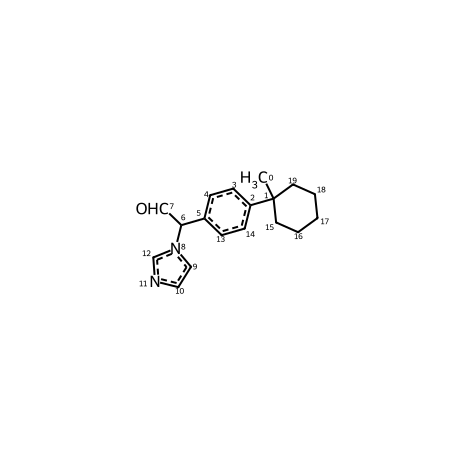 CC1(c2ccc(C(C=O)n3ccnc3)cc2)CCCCC1